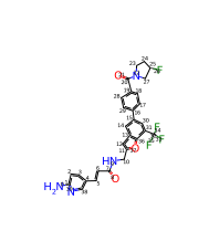 Nc1ccc(C=CC(=O)NCc2cc3cc(-c4ccc(C(=O)N5CC[C@@H](F)C5)cc4)cc(C(F)(F)F)c3o2)cn1